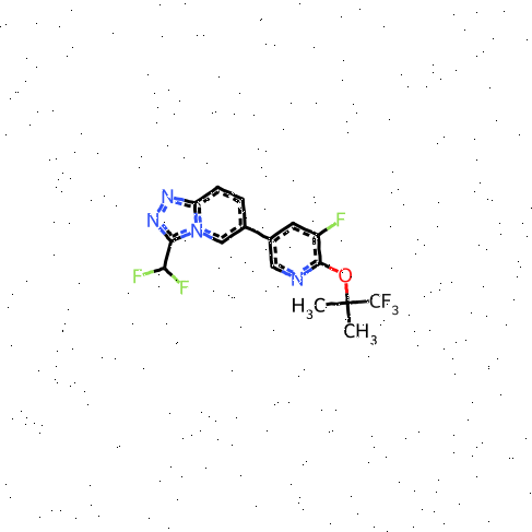 CC(C)(Oc1ncc(-c2ccc3nnc(C(F)F)n3c2)cc1F)C(F)(F)F